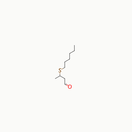 CCCCCCSC(C)CC=O